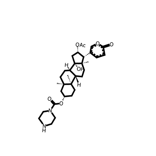 CC(=O)O[C@H]1C[C@]2(O)[C@@H]3CC[C@]4(C)C[C@@H](OC(=O)N5CCNCC5)CC[C@]4(C)[C@H]3CC[C@]2(C)[C@H]1c1ccc(=O)oc1